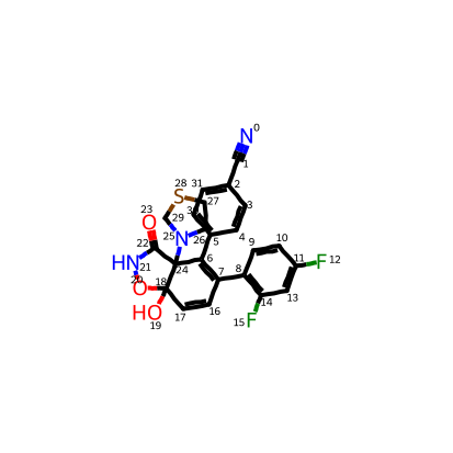 N#Cc1ccc(C2=C(c3ccc(F)cc3F)C=CC3(O)ONC(=O)C23N2CCSC2)cc1